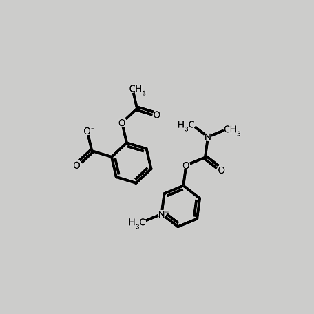 CC(=O)Oc1ccccc1C(=O)[O-].CN(C)C(=O)Oc1ccc[n+](C)c1